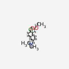 CCOC(=O)Cc1c(Cl)ccc2cc(CN(C)C)ccc12